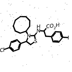 O=C(O)C(Cc1ccc(I)cc1)NC1SCC(c2ccc(Cl)cc2)N1C1CCCCCCCC1